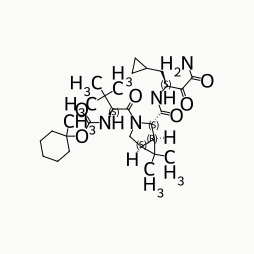 CC1(OC(=O)N[C@H](C(=O)N2C[C@H]3[C@@H]([C@H]2C(=O)N[C@@H](CC2CC2)C(=O)C(N)=O)C3(C)C)C(C)(C)C)CCCCC1